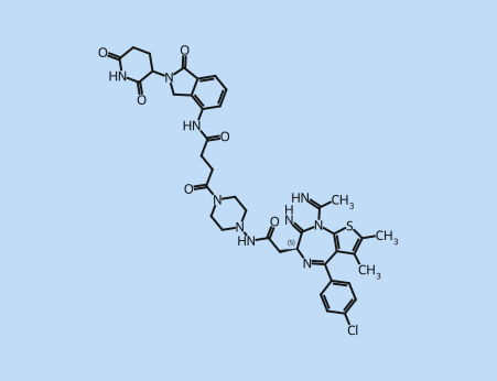 CC(=N)N1C(=N)[C@H](CC(=O)NN2CCN(C(=O)CCC(=O)Nc3cccc4c3CN(C3CCC(=O)NC3=O)C4=O)CC2)N=C(c2ccc(Cl)cc2)c2c1sc(C)c2C